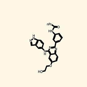 CCCC(=O)Nc1cccc(-c2nc(Nc3ccc4[nH]ncc4c3)c3cc(OCCO)ccc3n2)c1